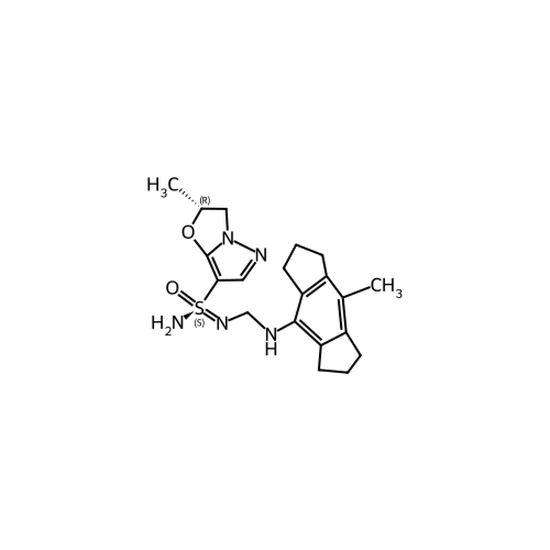 Cc1c2c(c(NCN=[S@](N)(=O)c3cnn4c3O[C@H](C)C4)c3c1CCC3)CCC2